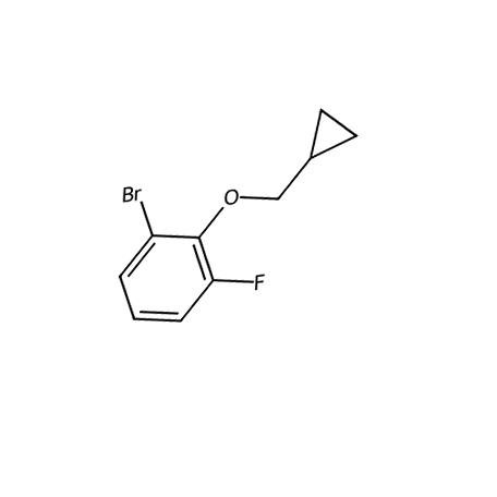 Fc1cccc(Br)c1OCC1CC1